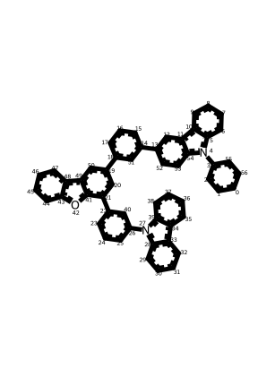 c1ccc(-n2c3ccccc3c3cc(-c4cccc(-c5cc(-c6cccc(-n7c8ccccc8c8ccccc87)c6)c6oc7ccccc7c6c5)c4)ccc32)cc1